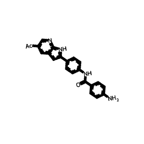 CC(=O)c1cnc2[nH]c(-c3ccc(NC(=O)c4ccc(N)cc4)cc3)cc2c1